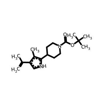 C=C(C)c1c[nH]c(C2CCN(C(=O)OC(C)(C)C)CC2)c1C